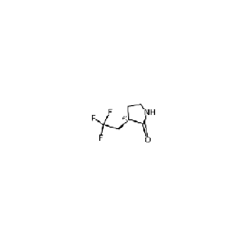 O=C1NCC[C@@H]1CC(F)(F)F